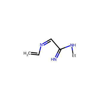 C=C/N=C\C(=N)NCC